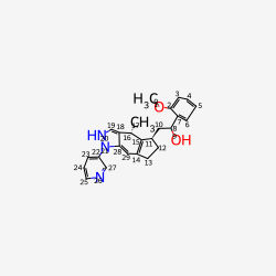 COc1ccccc1C(O)C[C@H]1CCC2=C1[C@@H](C)C1=CNN(c3cccnc3)C1=C2